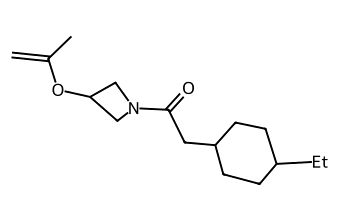 C=C(C)OC1CN(C(=O)CC2CCC(CC)CC2)C1